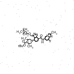 Cc1cn2cc(NC(=O)c3ccc(N4C[C@H](C)N(C(=O)OC(C)(C)C)[C@@H](C)C4)c4c3nnn4COCC[Si](C)(C)C)cc(F)c2n1